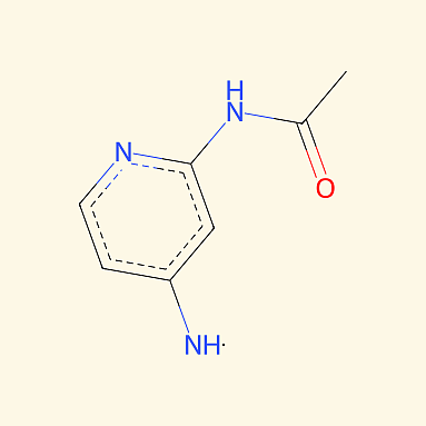 CC(=O)Nc1cc([NH])ccn1